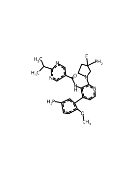 COc1ccc(P)cc1-c1ccnc(N2CCC(F)(P)C2)c1NC(=O)c1cnc(C(C)C)nc1